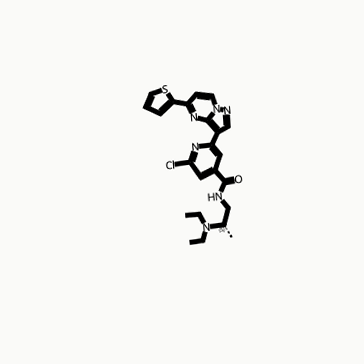 CCN(CC)[C@@H](C)CNC(=O)c1cc(Cl)nc(-c2cnn3ccc(-c4cccs4)nc23)c1